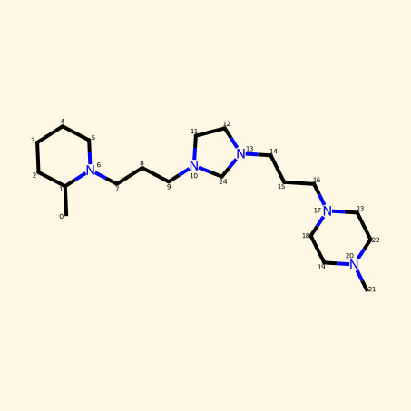 CC1CCCCN1CCCN1CCN(CCCN2CCN(C)CC2)C1